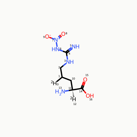 [2H]C(CNC(=N)N[N+](=O)[O-])C[C@]([2H])(N)C(=O)O